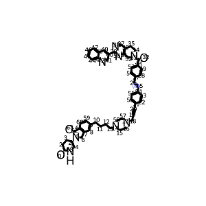 O=C1CCC(N2Cc3cc(CCCCN4CCN(CC#Cc5ccc(/C=C/c6ccc(C(=O)N7CCc8cnc(-c9cnc%10ccccc%10c9)nc8C7)cc6)cc5)CC4)ccc3C2=O)CN1